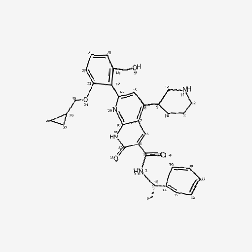 C[C@H](NC(=O)c1cc2c(C3CCCNC3)cc(-c3c(O)cccc3OCC3CC3)nc2[nH]c1=O)c1ccccc1